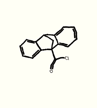 O=C(Cl)C12CC(c3ccccc31)c1ccccc12